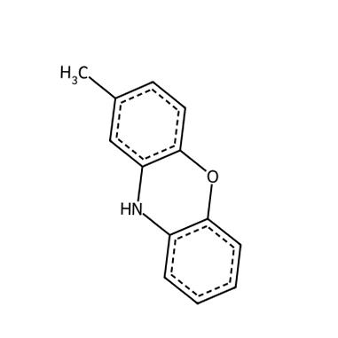 Cc1ccc2c(c1)Nc1ccccc1O2